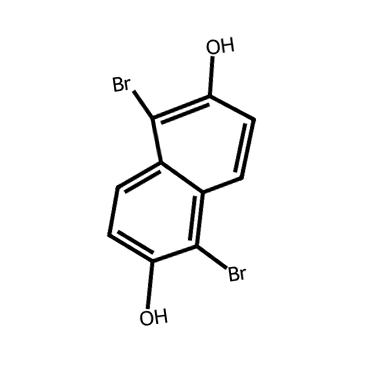 Oc1ccc2c(Br)c(O)ccc2c1Br